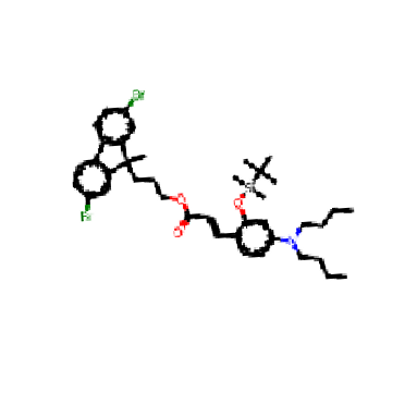 CCCCN(CCCC)c1ccc(/C=C/C(=O)OCCCC2(C)c3cc(Br)ccc3-c3ccc(Br)cc32)c(O[Si](C)(C)C(C)(C)C)c1